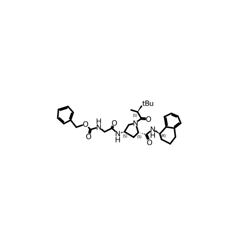 C[C@H](C(=O)N1C[C@@H](NC(=O)CNC(=O)OCc2ccccc2)C[C@H]1C(=O)N[C@@H]1CCCc2ccccc21)C(C)(C)C